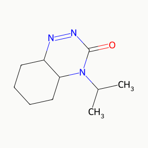 CC(C)N1C(=O)N=NC2CCCCC21